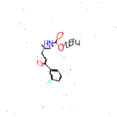 CC(CCC(=O)c1cccc(F)c1)CNC(=O)OC(C)(C)C